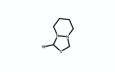 [N]C1SCN2CCCCN12